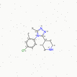 Cc1cc(Cl)ccc1-n1c(C)nnc1C1CCNCC1